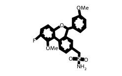 COc1cccc(C2Oc3ccc(F)c(OC)c3-c3ccc(CS(N)(=O)=O)cc32)c1